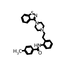 Cc1ccc(C(=O)Nc2ccccc2CCN2CCN(c3nsc4ccccc34)CC2)cc1